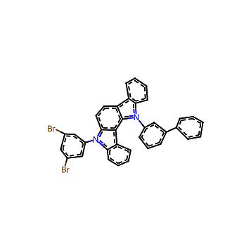 Brc1cc(Br)cc(-n2c3ccccc3c3c2ccc2c4ccccc4n(-c4cccc(-c5ccccc5)c4)c23)c1